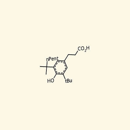 CCCCCC(C)(C)c1cc(CCC(=O)O)cc(C(C)(C)C)c1O